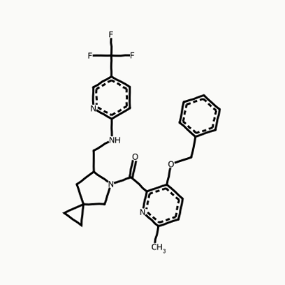 Cc1ccc(OCc2ccccc2)c(C(=O)N2CC3(CC3)CC2CNc2ccc(C(F)(F)F)cn2)n1